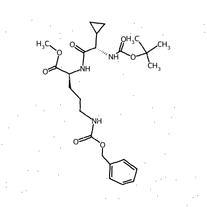 COC(=O)[C@H](CCCNC(=O)OCc1ccccc1)NC(=O)[C@@H](NC(=O)OC(C)(C)C)C1CC1